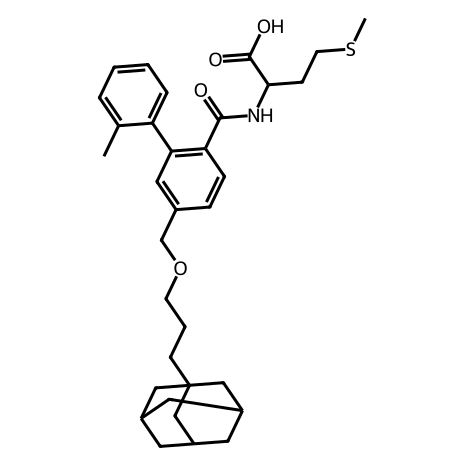 CSCCC(NC(=O)c1ccc(COCCCC23CC4CC(CC(C4)C2)C3)cc1-c1ccccc1C)C(=O)O